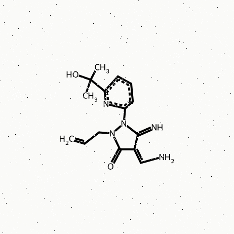 C=CCN1C(=O)/C(=C/N)C(=N)N1c1cccc(C(C)(C)O)n1